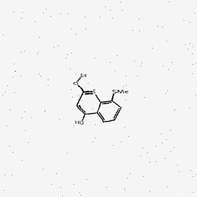 CCOc1cc(O)c2cccc(SC)c2n1